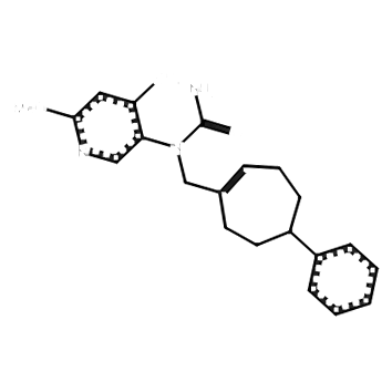 COc1cc(C)c(N(CC2=CCCC(c3ccccc3)CC2)C(N)=O)cn1